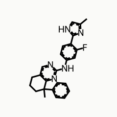 Cc1c[nH]c(-c2ccc(Nc3ncc4c(n3)C(C)(c3ccccc3)CCC4)cc2F)n1